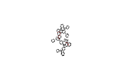 c1ccc(-c2cc(-c3ccc(-n4c5ccccc5c5cc6c7ccccc7n(-c7ccccc7)c6cc54)c(-c4cc(-c5ccccc5)nc(-c5cccc(-c6cc7c8c(c6)N(c6ccccc6)c6ccccc6B8c6ccccc6N7c6ccccc6)c5)n4)c3)nc(-c3ccccc3)n2)cc1